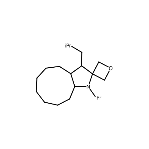 CC(C)CC1C2CCCCCCCC2N(C(C)C)C12COC2